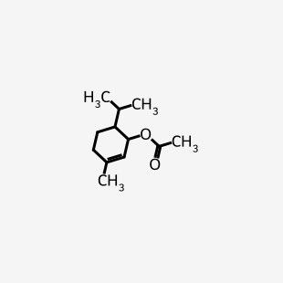 CC(=O)OC1C=C(C)CCC1C(C)C